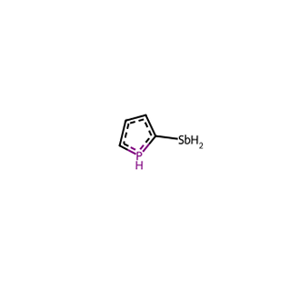 [SbH2][c]1ccc[pH]1